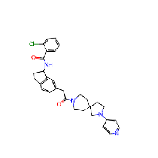 O=C(NC1CCc2ccc(CC(=O)N3CCC4(CC3)CCN(c3ccncc3)C4)cc21)c1ccccc1Cl